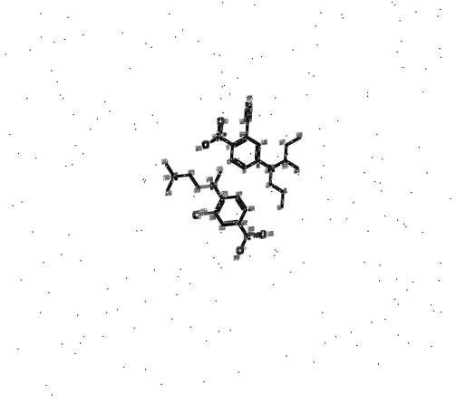 CCCN(c1ccc([N+](=O)[O-])c(C#N)c1)C(C)CC.CN(C)CCN(C)c1ccc([N+](=O)[O-])cc1Cl